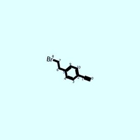 C#Cc1ccc(CCBr)cc1